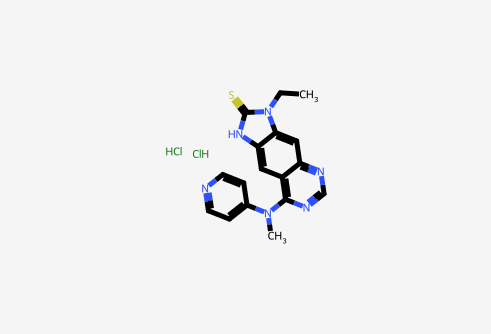 CCn1c(=S)[nH]c2cc3c(N(C)c4ccncc4)ncnc3cc21.Cl.Cl